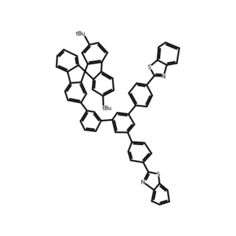 CC(C)(C)c1ccc2c(c1)C1(c3ccccc3-c3ccc(-c4cccc(-c5cc(-c6ccc(-c7nc8ccccc8s7)cc6)cc(-c6ccc(-c7nc8ccccc8s7)cc6)c5)c4)cc31)c1cc(C(C)(C)C)ccc1-2